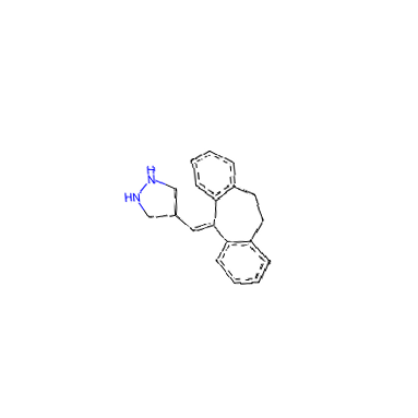 C(=C1c2ccccc2CCc2ccccc21)C1CNNC1